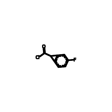 O=C(Cl)C1c2ccc(F)cc21